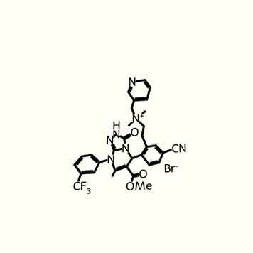 COC(=O)C1=C(C)N(c2cccc(C(F)(F)F)c2)c2n[nH]c(=O)n2C1c1ccc(C#N)cc1CC[N+](C)(C)Cc1cccnc1.[Br-]